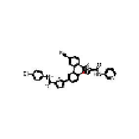 N#Cc1ccc(-c2ccc(C(=O)Nc3cccnc3)s2)c(-c2cc(-c3ccc(C(=O)Nc4ccc(Cl)cc4)s3)ccc2C#N)c1